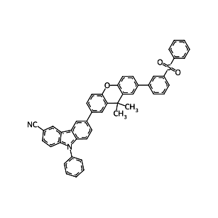 CC1(C)c2cc(-c3cccc(S(=O)(=O)c4ccccc4)c3)ccc2Oc2ccc(-c3ccc4c(c3)c3cc(C#N)ccc3n4-c3ccccc3)cc21